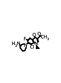 CC(=O)c1cn(C2CC2)c2c(Cl)c(N3CCCC[C@@H](N)C3)c(F)cc2c1=O